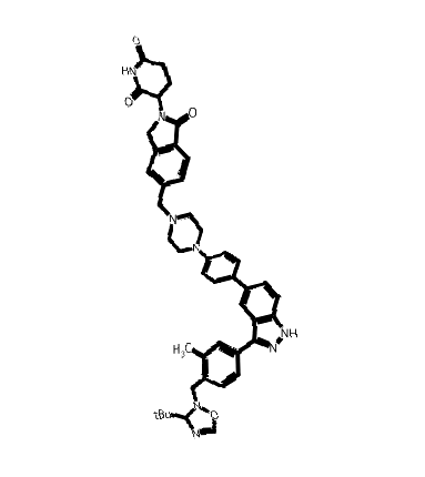 Cc1cc(-c2n[nH]c3ccc(-c4ccc(N5CCN(Cc6ccc7c(c6)CN(C6CCC(=O)NC6=O)C7=O)CC5)cc4)cc23)ccc1CN1OC=NC1C(C)(C)C